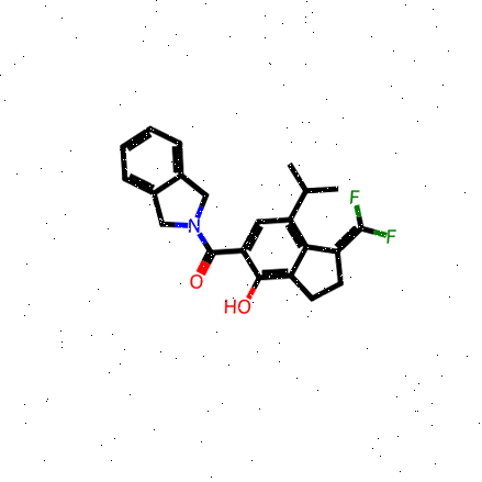 CC(C)c1cc(C(=O)N2Cc3ccccc3C2)c(O)c2c1C(=C(F)F)CC2